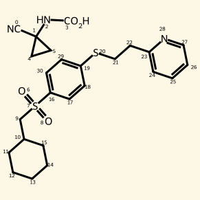 N#CC1(NC(=O)O)CC1.O=S(=O)(CC1CCCCC1)c1ccc(SCCc2ccccn2)cc1